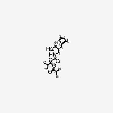 Cc1ccsc1C[C@@H](CNC(=O)O[C@@H](OC(=O)C(C)C)C(C)C)C(=O)O